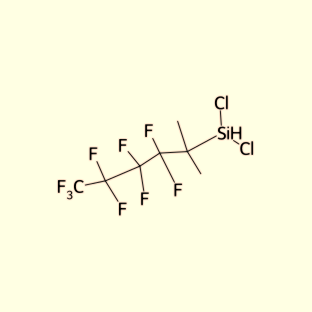 CC(C)([SiH](Cl)Cl)C(F)(F)C(F)(F)C(F)(F)C(F)(F)F